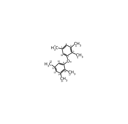 Cc1cc(C)c(C)c(Oc2cc(C)cc(C)c2C)c1